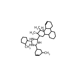 CC1C=CCC(C2NC(C3CC4C5CCCCC5C5CCC=CC5[C@H]4C(C)C3C)N[C@H](C3CCCCC3C)N2)C1